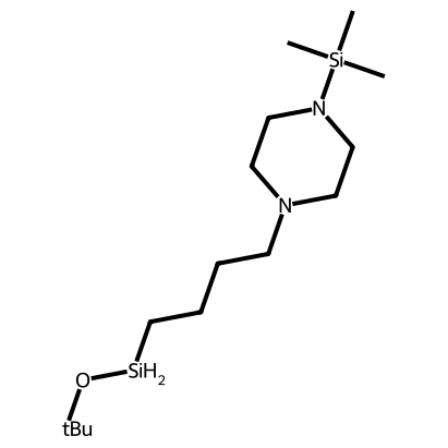 CC(C)(C)O[SiH2]CCCCN1CCN([Si](C)(C)C)CC1